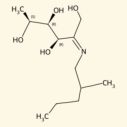 CCCC(C)CN=C(CO)[C@@H](O)[C@H](O)[C@H](C)O